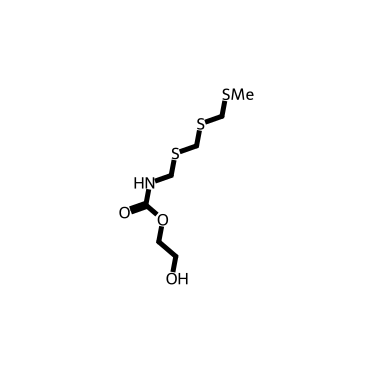 CSCSCSCNC(=O)OCCO